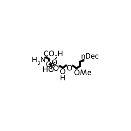 CCCCCCCCCCCCCC(COCC(O)COP(=O)(O)OCC(N)C(=O)O)OC